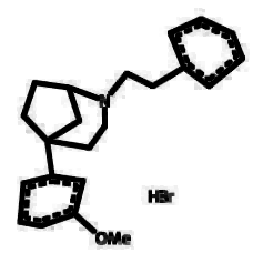 Br.COc1cccc(C23CCC(C2)N(CCc2ccccc2)CC3)c1